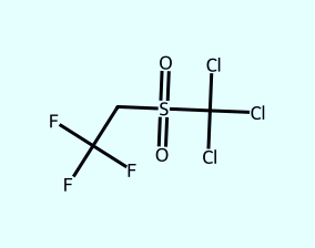 O=S(=O)(CC(F)(F)F)C(Cl)(Cl)Cl